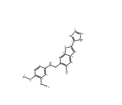 CCOc1ccc(NCc2cc3oc(-c4nnn[nH]4)cc3cc2Cl)cc1CF